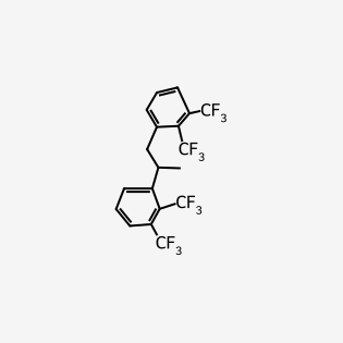 CC(Cc1cccc(C(F)(F)F)c1C(F)(F)F)c1cccc(C(F)(F)F)c1C(F)(F)F